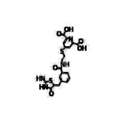 N=C1NC(=O)C(=Cc2cccc(C(=O)NCCSc3cc(C(=O)O)nc(C(=O)O)c3)c2)S1